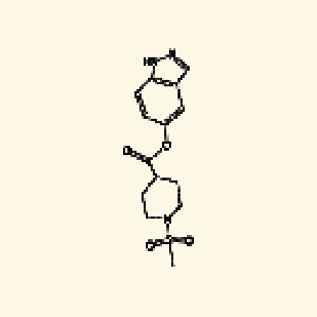 CS(=O)(=O)N1CCC(C(=O)Oc2ccc3[nH]ncc3c2)CC1